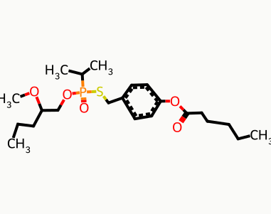 CCCCCC(=O)Oc1ccc(CSP(=O)(OCC(CCC)OC)C(C)C)cc1